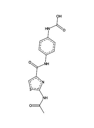 CC(=O)Nc1nc(C(=O)Nc2ccc(NC(=O)O)cc2)cs1